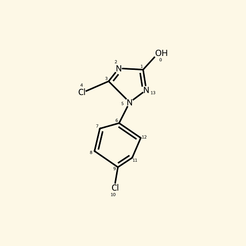 Oc1nc(Cl)n(-c2ccc(Cl)cc2)n1